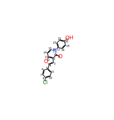 O=c1c2cc(-c3ccc(Cl)cc3)oc2ccn1-c1ccc(O)cc1